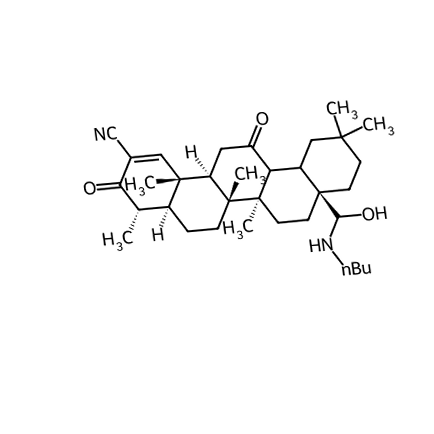 CCCCNC(O)[C@]12CCC(C)(C)CC1C1C(=O)C[C@@H]3[C@@]4(C)C=C(C#N)C(=O)[C@@H](C)[C@@H]4CC[C@@]3(C)[C@]1(C)CC2